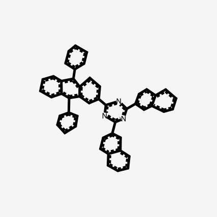 c1ccc(-c2c3ccccc3c(-c3ccccc3)c3cc(-c4nc(-c5ccc6ccccc6c5)nc(-c5ccc6ccccc6c5)n4)ccc23)cc1